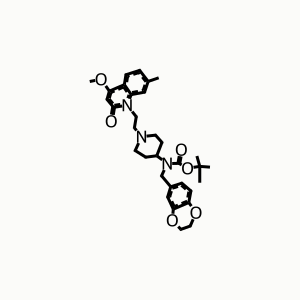 COc1cc(=O)n(CCN2CCC(N(Cc3ccc4c(c3)OCCO4)C(=O)OC(C)(C)C)CC2)c2cc(C)ccc12